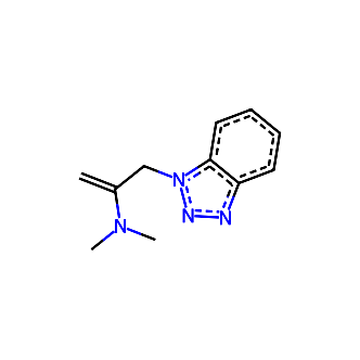 C=C(Cn1nnc2ccccc21)N(C)C